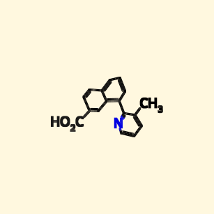 Cc1cccnc1-c1cccc2ccc(C(=O)O)cc12